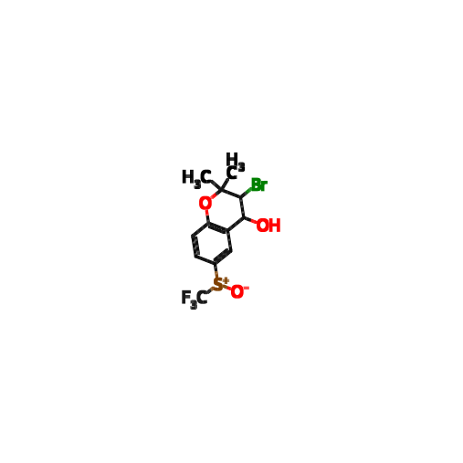 CC1(C)Oc2ccc([S+]([O-])C(F)(F)F)cc2C(O)C1Br